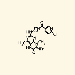 Cc1nc(NC2CN(C(=O)c3ccc(Cl)nc3)C2)nc2c1NC(=O)[C@H](C(C)C)N2C